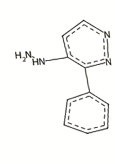 NNc1ccnnc1-c1ccccc1